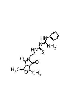 CC1OC(C)C2C(=O)N(CCNC(=S)/N=C(\N)Nc3ccccc3)C(=O)C12